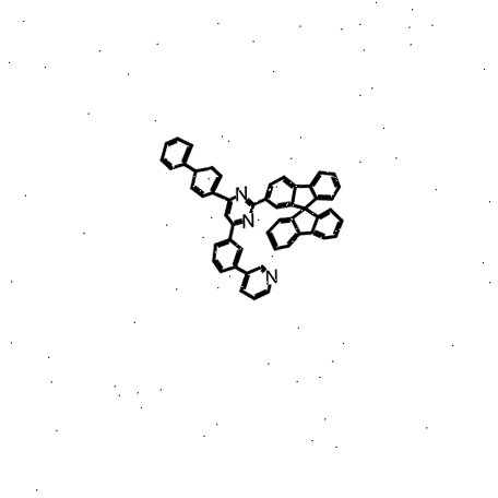 C1=CC(c2ccccc2)CC=C1c1cc(-c2cccc(-c3cccnc3)c2)nc(-c2ccc3c(c2)C2(c4ccccc4-c4ccccc42)c2ccccc2-3)n1